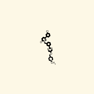 CN1CCC(COc2cnc(-c3cccc(Cn4nc(-c5cccc(Cl)c5)ccc4=O)c3)nc2)CC1